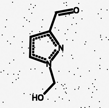 O=Cc1ccn(CO)n1